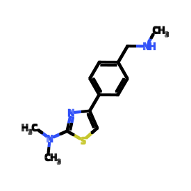 CNCc1ccc(-c2csc(N(C)C)n2)cc1